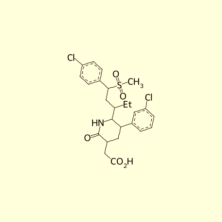 CCC(CC(c1ccc(Cl)cc1)S(C)(=O)=O)C1NC(=O)C(CC(=O)O)CC1c1cccc(Cl)c1